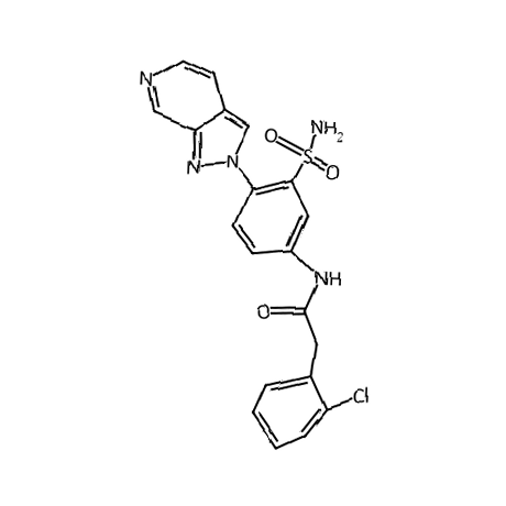 NS(=O)(=O)c1cc(NC(=O)Cc2ccccc2Cl)ccc1-n1cc2ccncc2n1